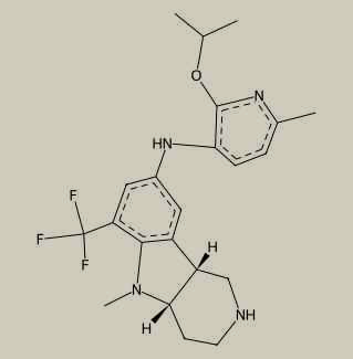 Cc1ccc(Nc2cc3c(c(C(F)(F)F)c2)N(C)[C@H]2CCNC[C@@H]32)c(OC(C)C)n1